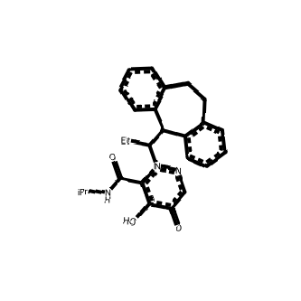 CCC(C1c2ccccc2CCc2ccccc21)n1ncc(=O)c(O)c1C(=O)NC(C)C